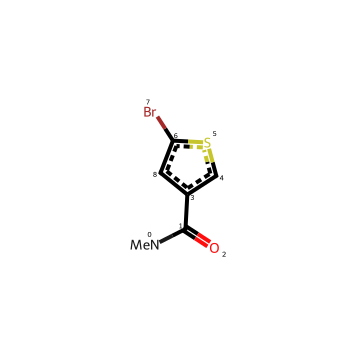 CNC(=O)c1csc(Br)c1